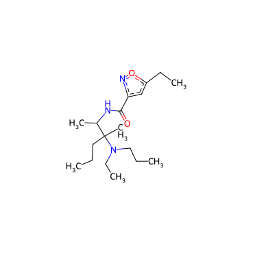 CCCN(CC)C(C)(CCC)C(C)NC(=O)c1cc(CC)on1